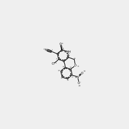 N#Cc1c(Cl)c2c([nH]c1=O)COc1c-2cccc1[N+](=O)[O-]